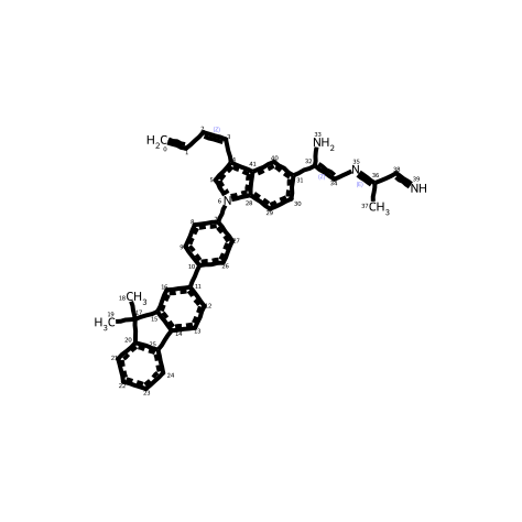 C=C/C=C\c1cn(-c2ccc(-c3ccc4c(c3)C(C)(C)c3ccccc3-4)cc2)c2ccc(/C(N)=C/N=C(\C)C=N)cc12